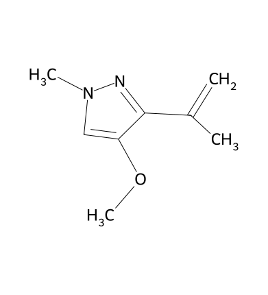 C=C(C)c1nn(C)cc1OC